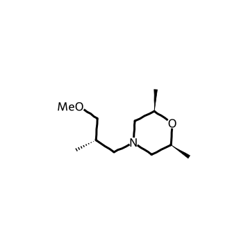 COC[C@@H](C)CN1C[C@@H](C)O[C@@H](C)C1